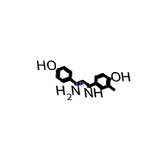 Cc1cc(C(=N)/C=C(\N)c2ccc(O)cc2)ccc1O